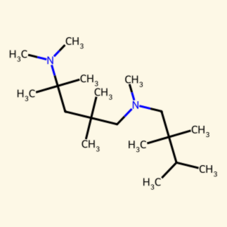 CC(C)C(C)(C)CN(C)CC(C)(C)CC(C)(C)N(C)C